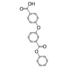 O=C(O)c1ccc(Oc2cccc(C(=O)Oc3ccccc3)c2)cc1